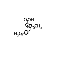 CSc1ccc(Cc2c(SC)cc3n2CCC3C(=O)O)cc1